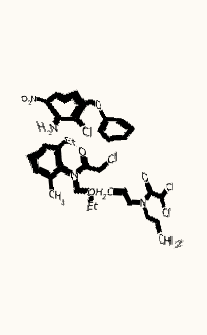 C=CCN(CC=C)C(=O)C(Cl)Cl.CCOCN(C(=O)CCl)c1c(C)cccc1CC.Nc1c([N+](=O)[O-])ccc(Oc2ccccc2)c1Cl